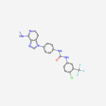 CNc1nccc2c1ncn2-c1ccc(NC(=O)Nc2ccc(Cl)c(C(F)(F)F)c2)cc1